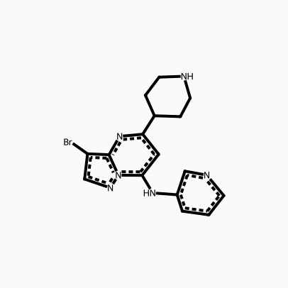 Brc1cnn2c(Nc3cccnc3)cc(C3CCNCC3)nc12